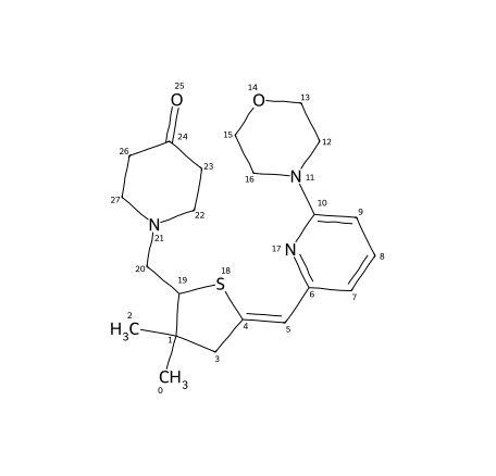 CC1(C)CC(=Cc2cccc(N3CCOCC3)n2)SC1CN1CCC(=O)CC1